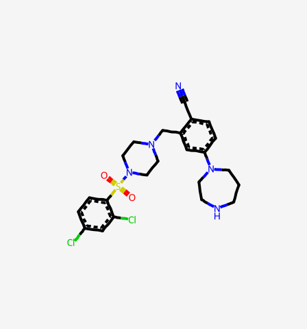 N#Cc1ccc(N2CCCNCC2)cc1CN1CCN(S(=O)(=O)c2ccc(Cl)cc2Cl)CC1